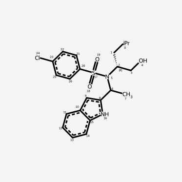 CC(C)C[C@H](CO)N(C(C)c1cc2ccccc2[nH]1)S(=O)(=O)c1ccc(Cl)cc1